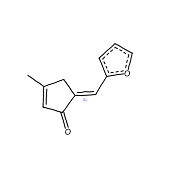 CC1=CC(=O)/C(=C/c2ccco2)C1